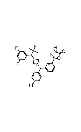 CC(C)(F)[C@H](c1cc(F)cc(F)c1)C1CN([C@@H](c2ccc(Cl)cc2)c2cccc(-c3n[nH]c(=O)o3)c2)C1